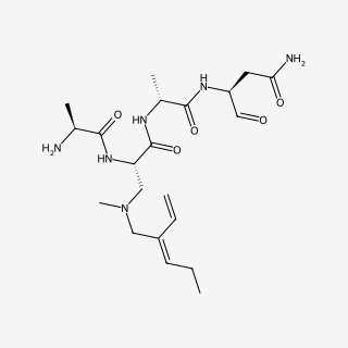 C=C/C(=C\CC)CN(C)C[C@H](NC(=O)[C@H](C)N)C(=O)N[C@H](C)C(=O)N[C@H](C=O)CC(N)=O